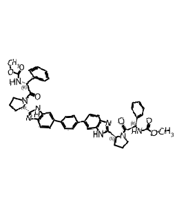 COC(=O)N[C@@H](C(=O)N1CCC[C@H]1c1nc2ccc(-c3ccc(-c4ccc5nc([C@@H]6CCCN6C(=O)[C@H](NC(=O)OC)c6ccccc6)[nH]c5c4)cc3)cc2[nH]1)c1ccccc1